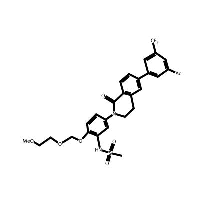 COCCOCOc1ccc(N2CCc3cc(-c4cc(C(C)=O)cc(C(F)(F)F)c4)ccc3C2=O)cc1NS(C)(=O)=O